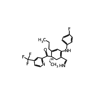 CCCC1=CC(Nc2ccc(F)cc2)=C(C=N)C[C@@]1(CC)C(=O)c1cc(C(F)(F)F)ccn1